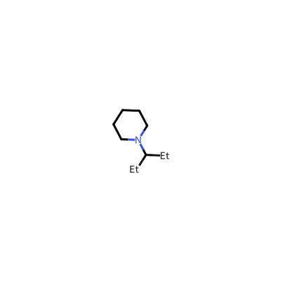 CCC(CC)N1CCCCC1